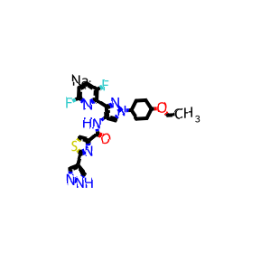 CCOC1CCC(n2cc(NC(=O)c3csc(-c4cn[nH]c4)n3)c(-c3nc(F)ccc3F)n2)CC1.[Na]